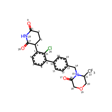 O=C1CCC(c2cccc(-c3ccc(CN4C(=O)COCC4C(F)(F)F)cc3)c2Cl)C(=O)N1